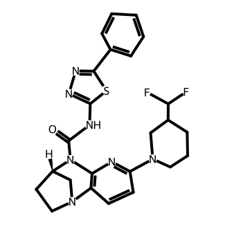 O=C(Nc1nnc(-c2ccccc2)s1)N1c2nc(N3CCCC(C(F)F)C3)ccc2N2CC[C@H]1C2